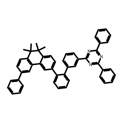 CC1(C)c2ccc(-c3ccccc3)cc2-c2cc(-c3ccccc3-c3cccc(-c4nc(-c5ccccc5)nc(-c5ccccc5)n4)c3)ccc2C1(C)C